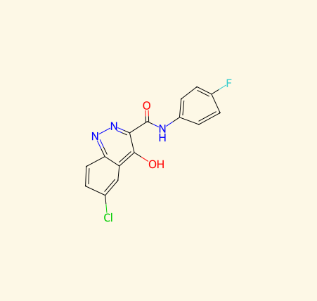 O=C(Nc1ccc(F)cc1)c1nnc2ccc(Cl)cc2c1O